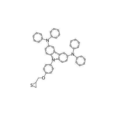 c1ccc(N(c2ccccc2)c2ccc3c(c2)c2cc(N(c4ccccc4)c4ccccc4)ccc2n3-c2ccc(OCC3CS3)cc2)cc1